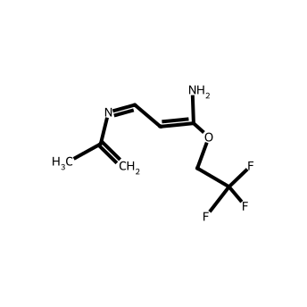 C=C(C)/N=C\C=C(/N)OCC(F)(F)F